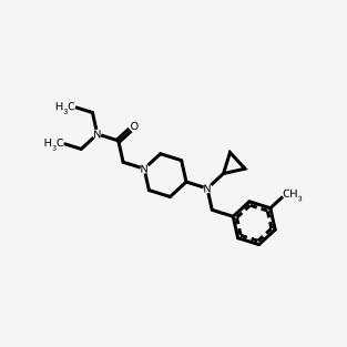 CCN(CC)C(=O)CN1CCC(N(Cc2cccc(C)c2)C2CC2)CC1